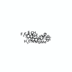 COc1nc2nc(C)nc(N[C@H](C)c3cccc(C(F)(F)F)c3F)c2cc1N1CCN(C(=O)[C@H]2COCCO2)CC1